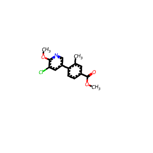 COC(=O)c1ccc(-c2cnc(OC)c(Cl)c2)c(C)c1